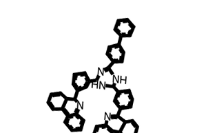 CC1C=CC2C(c3cccc(C4NC(c5ccc(-c6ccccc6)cc5)=NC(c5cccc(C6N=c7ccccc7=C7C=CC=CC76)c5)N4)c3)=Nc3ccccc3C2C1